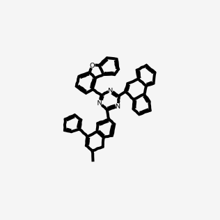 CC1C=C(c2ccccc2)c2cc(-c3nc(-c4cc5ccccc5c5ccccc45)nc(-c4cccc5oc6ccccc6c45)n3)ccc2C1